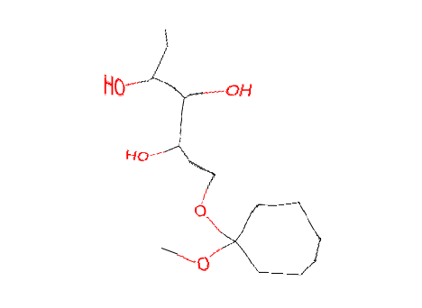 COC1(OCC(O)C(O)C(C)O)CCCCC1